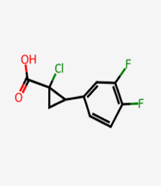 O=C(O)C1(Cl)CC1c1ccc(F)c(F)c1